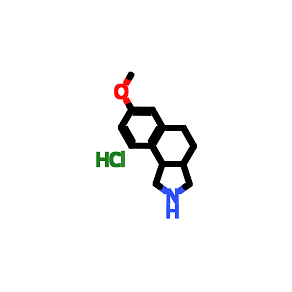 COc1ccc2c(c1)CCC1CNCC21.Cl